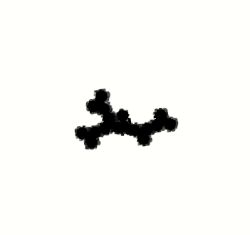 c1ccc(-c2nc(-c3ccc(-n4c5ccccc5c5cc(-c6ccc7c(c6)c6ccccc6n7-c6ccccc6)ccc54)cc3)nc3ccc(-n4c5ccc(-c6ccc7c(c6)c6ccccc6n7-c6ccccc6)cc5c5cc(-c6ccc7c(c6)c6ccccc6n7-c6ccccc6)ccc54)cc23)cc1